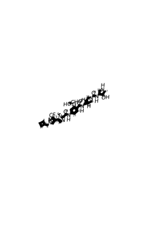 Cn1c(-c2cn(CC3CCC3)nc2C(F)(F)F)cnc1C(=O)Nc1ccc(C(=O)N[C@H]2[C@@H]3CN(C(=O)N[C@@H]4CNC[C@H]4O)C[C@@H]32)c(Cl)c1.O=CO